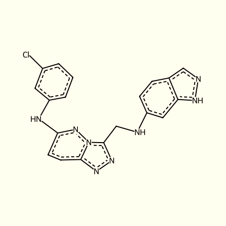 Clc1cccc(Nc2ccc3nnc(CNc4ccc5cn[nH]c5c4)n3n2)c1